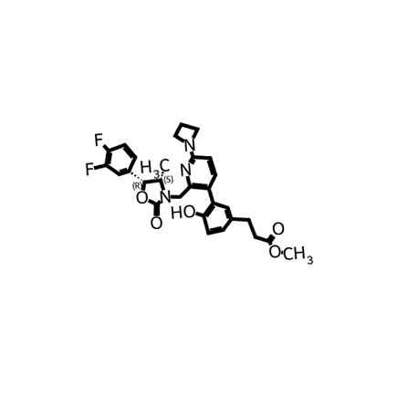 COC(=O)CCc1ccc(O)c(-c2ccc(N3CCC3)nc2CN2C(=O)O[C@H](c3ccc(F)c(F)c3)[C@@H]2C)c1